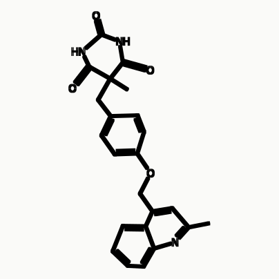 Cc1cc(COc2ccc(CC3(C)C(=O)NC(=O)NC3=O)cc2)c2ccccc2n1